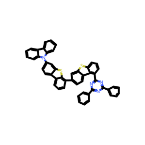 c1ccc(-c2nc(-c3ccccc3)nc(-c3cccc4sc5cc(-c6cccc7c6sc6cc(-n8c9ccccc9c9ccccc98)ccc67)ccc5c34)n2)cc1